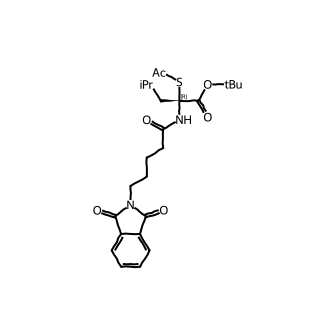 CC(=O)S[C@@](CC(C)C)(NC(=O)CCCCN1C(=O)c2ccccc2C1=O)C(=O)OC(C)(C)C